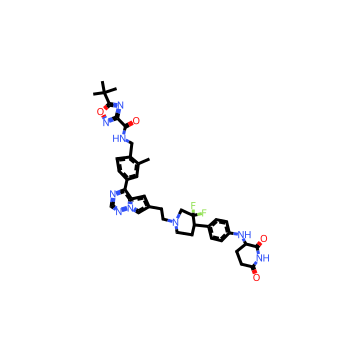 Cc1cc(-c2ncnn3cc(CCN4CCC(c5ccc(NC6CCC(=O)NC6=O)cc5)C(F)(F)C4)cc23)ccc1CNC(=O)c1noc(C(C)(C)C)n1